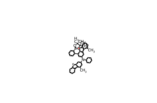 Cc1cc(N(c2ccccc2)c2cc(-c3ccccc3B3OC(C)(C)C(C)(C)O3)c3sc4cccc(C)c4c3c2)cc2sc3ccccc3c12